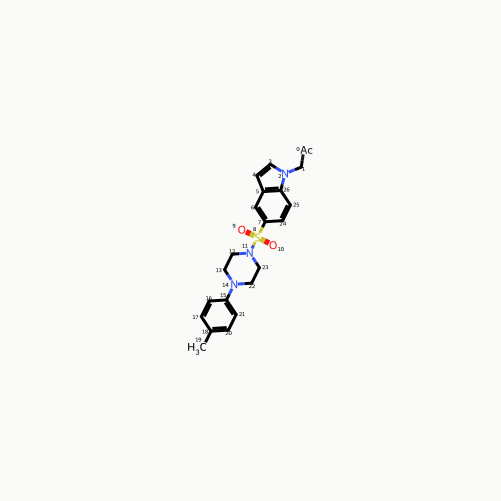 CC(=O)Cn1ccc2cc(S(=O)(=O)N3CCN(c4ccc(C)cc4)CC3)ccc21